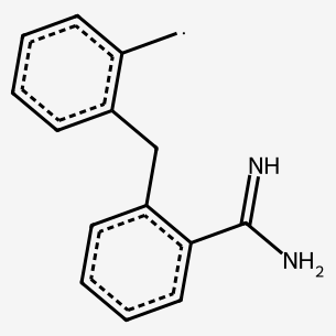 [CH2]c1ccccc1Cc1ccccc1C(=N)N